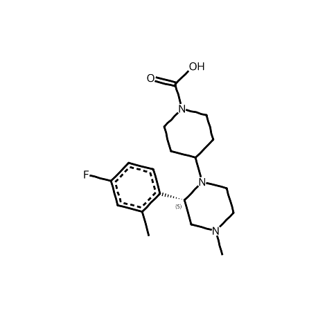 Cc1cc(F)ccc1[C@H]1CN(C)CCN1C1CCN(C(=O)O)CC1